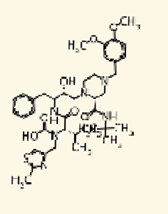 COc1ccc(CN2CCN(C[C@@H](O)[C@H](Cc3ccccc3)NC(=O)[C@H](C(C)C)N(Cc3csc(C)n3)C(=O)O)[C@H](C(=O)NC(C)(C)C)C2)cc1OC